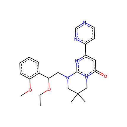 CCOC(CN1CC(C)(C)Cn2c1nc(-c1ccncn1)cc2=O)c1ccccc1OC